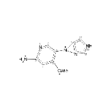 COc1cc(N)ncc1N1c2c[nH]cc21